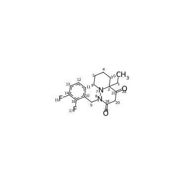 CCC12CCCCN1N(Cc1cccc(F)c1F)C(=O)CC2=O